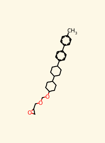 Cc1ccc(-c2ccc(C3CCC(C4CCC(OCOCC5CO5)CC4)CC3)cc2)cc1